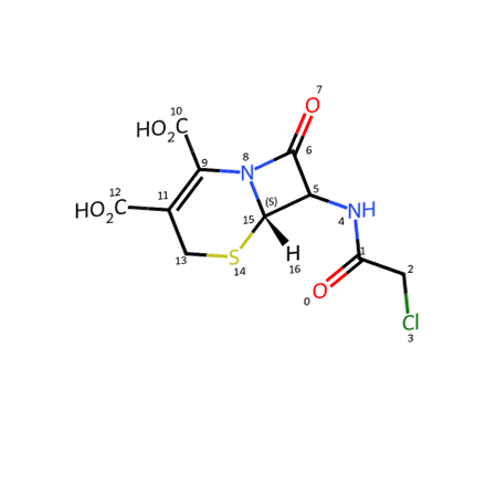 O=C(CCl)NC1C(=O)N2C(C(=O)O)=C(C(=O)O)CS[C@@H]12